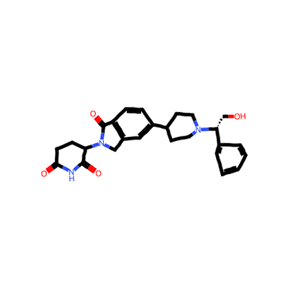 O=C1CCC(N2Cc3cc(C4CCN([C@H](CO)c5ccccc5)CC4)ccc3C2=O)C(=O)N1